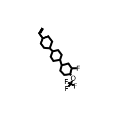 C=CC1CCC(C2CCC(C3CCC(OC(F)(F)F)C(F)C3)CC2)CC1